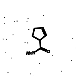 [CH2]NC(=O)C1C=CCC1